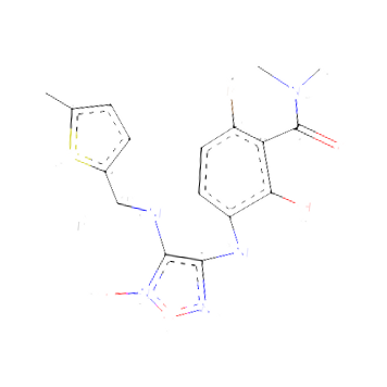 Cc1ccc([C@H](Nc2c(Nc3ccc(Br)c(C(=O)N(C)C)c3O)no[n+]2[O-])C(C)(C)C)s1